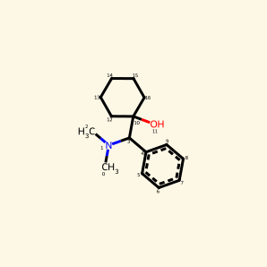 CN(C)C(c1ccccc1)C1(O)CCCCC1